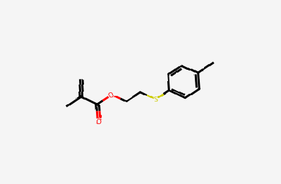 C=C(C)C(=O)OCCSc1ccc(C)cc1